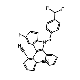 N#Cc1cccc(C#N)c1-c1c(-c2ccccc2)n(Sc2ccc(C(F)F)cc2)c2ccc(F)cc12